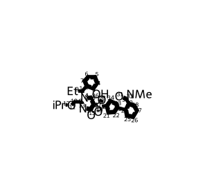 CCC(c1ccccc1)n1c(COC(C)C)nc(=O)c(S(=O)(=O)c2ccc(-c3ccccc3C(=O)NC)cc2)c1O